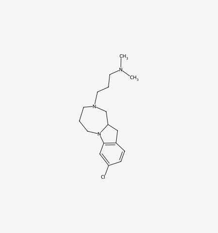 CN(C)CCCN1CCCN2c3cc(Cl)ccc3CC2C1